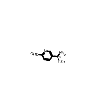 CCCC[C@H](N)c1ccc(C=O)nc1